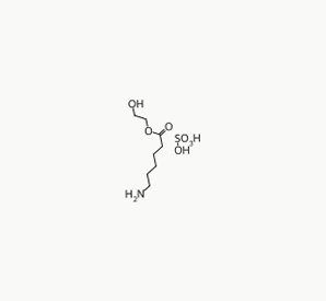 NCCCCCC(=O)OCCO.O=S(=O)(O)O